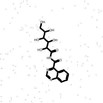 O=C(NC(=O)C(O)C(O)C(O)C(O)CO)c1ncnc2ccccc12